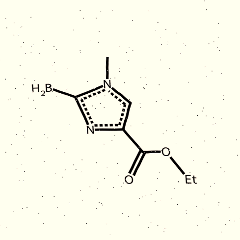 Bc1nc(C(=O)OCC)cn1C